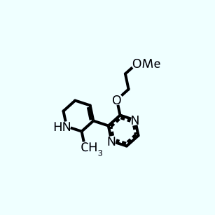 COCCOc1nccnc1C1=CCCNC1C